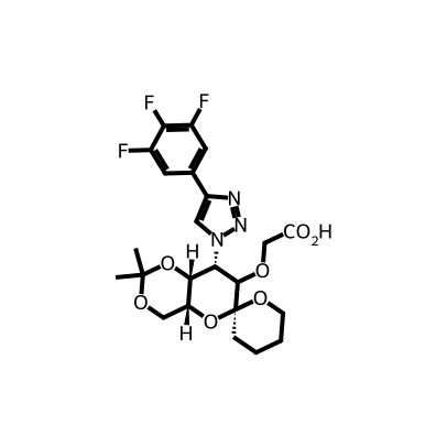 CC1(C)OC[C@H]2O[C@@]3(CCCCO3)C(OCC(=O)O)[C@@H](n3cc(-c4cc(F)c(F)c(F)c4)nn3)[C@H]2O1